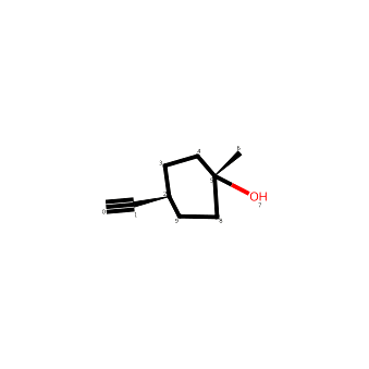 C#C[C@H]1CC[C@](C)(O)CC1